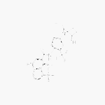 CC1CCC12C(C)N2c1ccc(NC(=O)c2c[nH]c3cccc(C(F)(F)F)c3c2=O)c(C(F)(F)F)c1